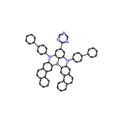 c1ccc(-c2ccc(N3c4cc5ccc6ccccc6c5cc4B4c5cc6c(ccc7ccccc76)cc5N(c5ccc(-c6ccccc6)cc5)c5cc(-c6ncncn6)cc3c54)cc2)cc1